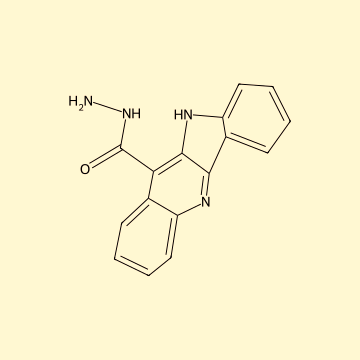 NNC(=O)c1c2ccccc2nc2c1[nH]c1ccccc12